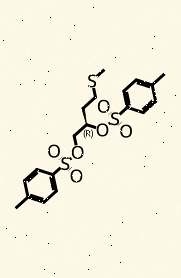 CSCC[C@H](COS(=O)(=O)c1ccc(C)cc1)OS(=O)(=O)c1ccc(C)cc1